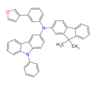 CC1(C)c2ccccc2-c2ccc(N(c3cccc(-c4ccoc4)c3)c3ccc4c(c3)c3ccccc3n4-c3ccccc3)cc21